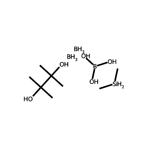 B.B.CC(C)(O)C(C)(C)O.C[SiH2]C.OB(O)O